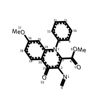 C=Nc1c(C(=O)OC)n(-c2ccccc2)c2cc(OC)ccc2c1=O